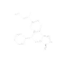 CN(CCO)c1ncc2c3n[nH]c(=O)c-3cn(-c3ccccc3)c2n1